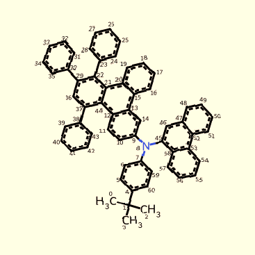 CC(C)(C)c1ccc(N(c2ccc3c(c2)c2ccccc2c2c(-c4ccccc4)c(-c4ccccc4)cc(-c4ccccc4)c32)c2cc3ccccc3c3ccccc23)cc1